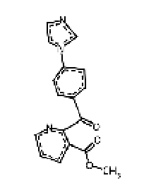 COC(=O)c1cccnc1C(=O)c1ccc(-n2ccnc2)cc1